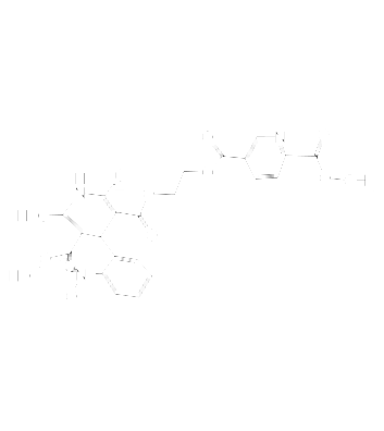 COC(=O)C1=C(C)NC(C)=C(C(=O)OCCOC(=O)c2ccc(C(=O)OC)nc2)C1c1ccccc1[N+](=O)[O-]